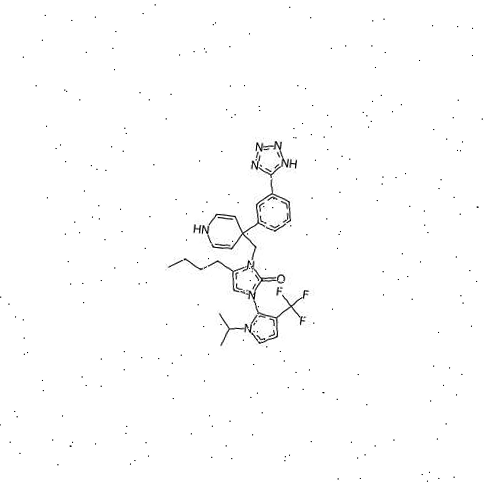 CCCCc1cn(-c2c(C(F)(F)F)ccn2C(C)C)c(=O)n1CC1(c2cccc(-c3nnn[nH]3)c2)C=CNC=C1